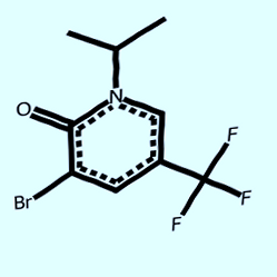 CC(C)n1cc(C(F)(F)F)cc(Br)c1=O